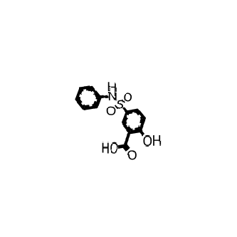 O=C(O)c1cc(S(=O)(=O)Nc2ccccc2)ccc1O